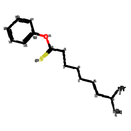 CCCCC(CCC)CCCCCCC(=S)Oc1ccccc1